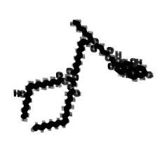 CCCCCCCC/C=C\CCCCCCCC(=O)OCC(COC(=O)CCCCCCC/C=C\C[C@H](O)CCCCCC)OC(=O)CCCCCCC/C=C\C[C@@H](CCCCCC)OC(=O)CCC(=O)OCC(=O)[C@@]1(O)CC[C@H]2[C@@H]3CCC4=CC(=O)C=C[C@]4(C)[C@@]3(F)[C@@H](O)C[C@@]21C